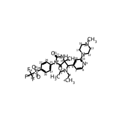 CCN(CC)C(c1ccnc(N2CCN(C)CC2)c1)C1(C)NC(=O)N(c2ccc(S(=O)(=O)C(F)(F)F)cc2)C1=O